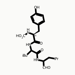 CCC(C)C(NC(=O)[C@H](Cc1ccc(O)cc1)NC(=O)O)C(=O)NC(C=O)CC(C)C